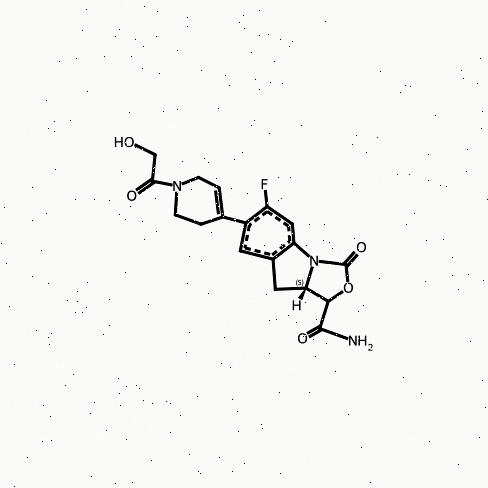 NC(=O)C1OC(=O)N2c3cc(F)c(C4=CCN(C(=O)CO)CC4)cc3C[C@@H]12